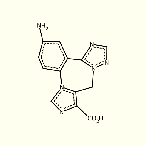 Nc1ccc2c(c1)-c1ncnn1Cc1c(C(=O)O)ncn1-2